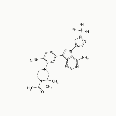 [2H]C([2H])([2H])n1cc(-c2cc(-c3ccc(C#N)c(N4CCN(C(C)=O)C(C)(C)C4)c3)n3ncnc(N)c23)cn1